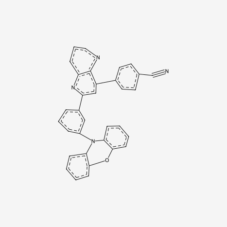 N#Cc1ccc(-c2cc(-c3cccc(N4c5ccccc5Oc5ccccc54)c3)nc3cccnc23)cc1